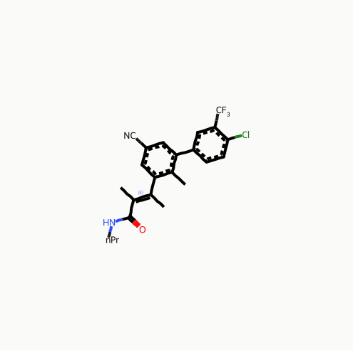 CCCNC(=O)/C(C)=C(\C)c1cc(C#N)cc(-c2ccc(Cl)c(C(F)(F)F)c2)c1C